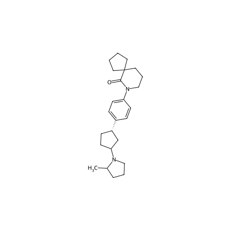 CC1CCCN1C1CC[C@H](c2ccc(N3CCCC4(CCCC4)C3=O)cc2)C1